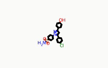 NS(=O)(=O)c1ccc(-n2nc(-c3ccc(O)cc3)cc2-c2ccc(Cl)cc2)cc1